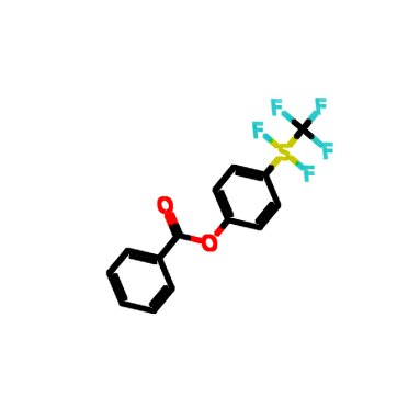 O=C(Oc1ccc(S(F)(F)C(F)(F)F)cc1)c1ccccc1